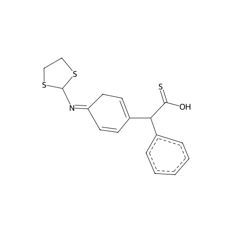 OC(=S)C(C1=CCC(=NC2SCCS2)C=C1)c1ccccc1